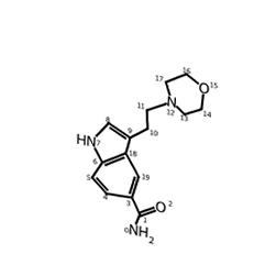 NC(=O)c1ccc2[nH]cc(CCN3CCOCC3)c2c1